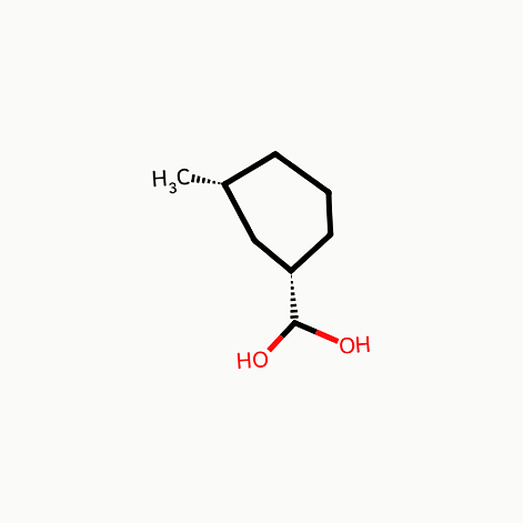 C[C@@H]1CCC[C@H](C(O)O)C1